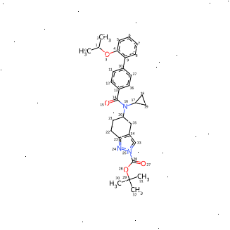 CC(C)Oc1ccccc1-c1ccc(C(=O)N(C2CC2)C2CCc3nn(C(=O)OC(C)(C)C)cc3C2)cc1